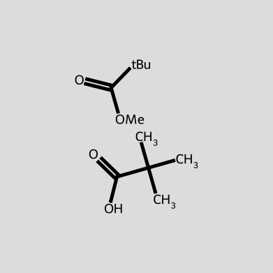 CC(C)(C)C(=O)O.COC(=O)C(C)(C)C